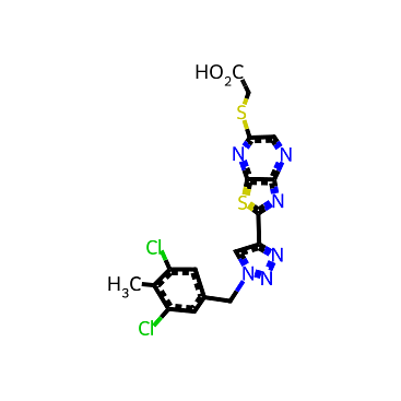 Cc1c(Cl)cc(Cn2cc(-c3nc4ncc(SCC(=O)O)nc4s3)nn2)cc1Cl